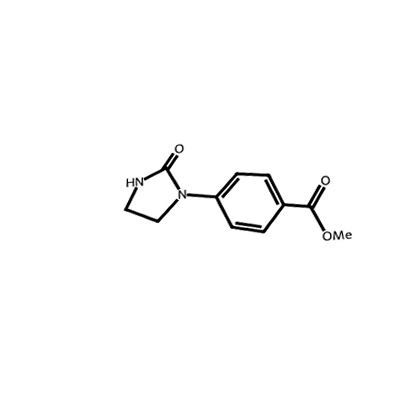 COC(=O)c1ccc(N2CCNC2=O)cc1